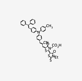 CCN1C(=O)/C(=c2/s/c(=C/C(C#N)=C/c3ccc(N(c4ccc(C)cc4)c4ccc(C=C(c5ccccc5)c5ccccc5)cc4)cc3)c(=O)n2CC(=O)O)SC1=S